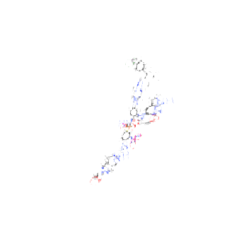 CC1(C)CCC(CN2CCN(c3ccc(C(=O)NS(=O)(=O)c4ccc(NCCN5CCC6CN(C7COC7)CC6C5)c([N+](=O)[O-])c4)c(N4CCCOc5nc6[nH]ccc6cc54)c3)CC2)=C(c2ccc(Cl)cc2)C1